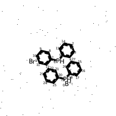 [B+].[Br-].c1ccc(Pc2ccccc2)cc1.c1ccc(Pc2ccccc2)cc1